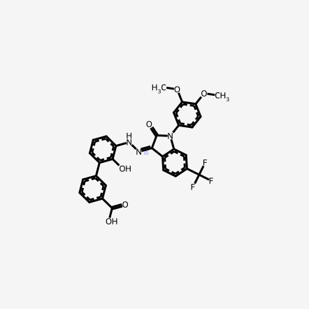 COc1ccc(N2C(=O)/C(=N\Nc3cccc(-c4cccc(C(=O)O)c4)c3O)c3ccc(C(F)(F)F)cc32)cc1OC